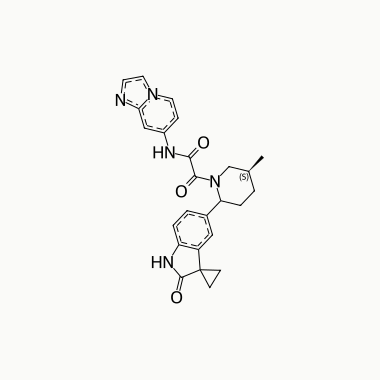 C[C@H]1CCC(c2ccc3c(c2)C2(CC2)C(=O)N3)N(C(=O)C(=O)Nc2ccn3ccnc3c2)C1